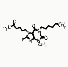 CCCCCCn1c(=O)c2c(nc(I)n2CCCCC(C)=O)n(C)c1=O